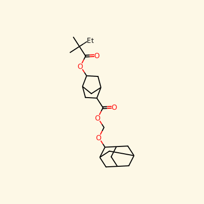 CCC(C)(C)C(=O)OC1CC2CC1CC2C(=O)OCOC1C2CC3CC(C2)CC1C3